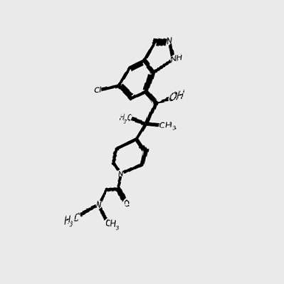 CN(C)CC(=O)N1CCC(C(C)(C)[C@H](O)c2cc(Cl)cc3cn[nH]c23)CC1